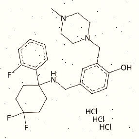 CN1CCN(Cc2cc(CNC3(c4ccccc4F)CCC(F)(F)CC3)ccc2O)CC1.Cl.Cl.Cl